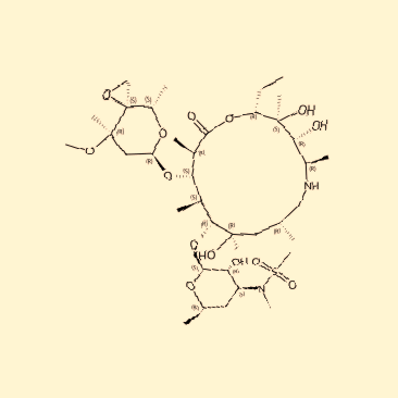 CC[C@H]1OC(=O)[C@H](C)[C@@H](O[C@H]2C[C@@](C)(OC)[C@]3(CO3)[C@H](C)O2)[C@H](C)[C@@H](O[C@@H]2O[C@H](C)C[C@H](N(C)S(C)(=O)=O)[C@H]2O)[C@](C)(O)C[C@@H](C)CN[C@H](C)[C@@H](O)[C@]1(C)O